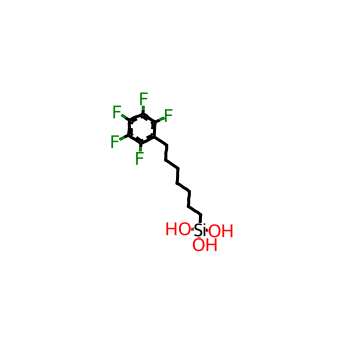 O[Si](O)(O)CCCCCCCc1c(F)c(F)c(F)c(F)c1F